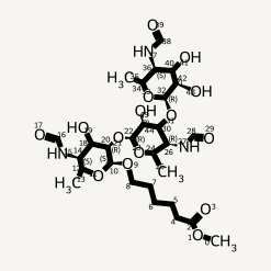 COC(=O)CCCCCO[C@H]1OC(C)[C@@H](NC=O)C(O)[C@H]1O[C@H]1OC(C)[C@@H](NC=O)C(O[C@H]2OC(C)[C@@H](NC=O)C(O)[C@H]2O)[C@H]1O